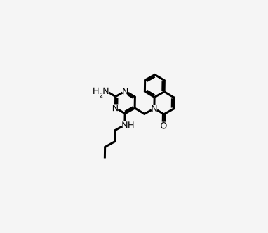 CCCCNc1nc(N)ncc1Cn1c(=O)ccc2ccccc21